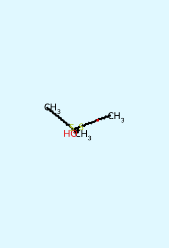 CCCCCCCCCCCCCCCCCCSCc1cc(C)c(O)c(CSCCCCCCCCCCCCCCCCCC)c1